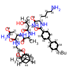 CCCCc1ccc(-c2ccc(C(=O)N[C@@H](CCCCN)C(=O)N[C@H](C(=O)N[C@@H](C)C(=O)N[C@@H](CC(N)=O)C(=O)NCB3OC4C[C@@H]5C[C@@H](C5(C)C)[C@]4(C)O3)C(C)O)cc2)cc1